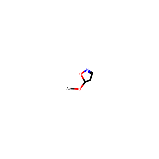 CC(=O)OC1CC=NO1